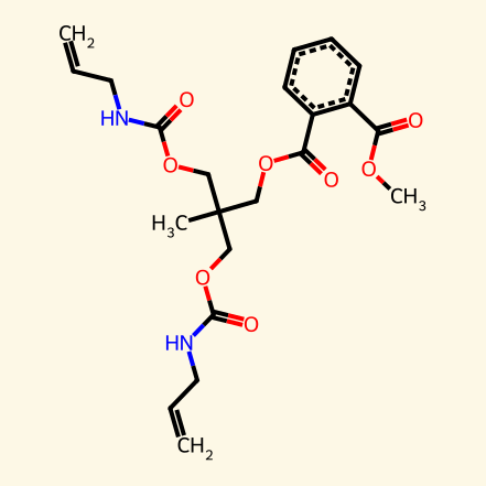 C=CCNC(=O)OCC(C)(COC(=O)NCC=C)COC(=O)c1ccccc1C(=O)OC